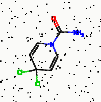 NC(=O)N1C=CC(Cl)(Cl)C=C1